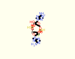 Nc1ncnc2c1ncn2[C@@H]1OC2CO[P@](=O)(S)O[C@H]3[C@@H](F)[C@H](n4cnc5c(N)ncnc54)O[C@@H]3CO[P@@](=O)(S)O[C@H]2[C@H]1O